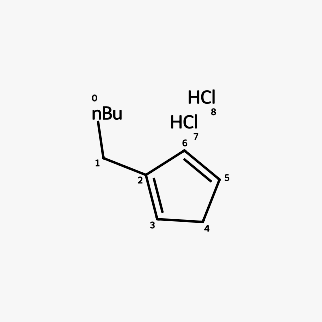 CCCCCC1=CCC=C1.Cl.Cl